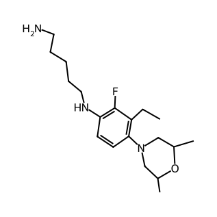 CCc1c(N2CC(C)OC(C)C2)ccc(NCCCCCN)c1F